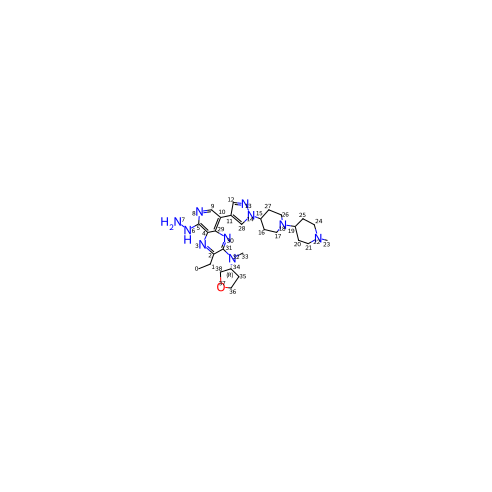 CCc1nc2c(NN)ncc(-c3cnn(C4CCN(C5CCN(C)CC5)CC4)c3)c2nc1N(C)[C@@H]1CCOC1